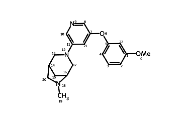 COc1cccc(Oc2cncc(N3CC4CC(C3)N(C)C4)c2)c1